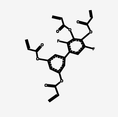 C=CC(=O)Oc1cc(OC(=O)C=C)cc(-c2cc(F)c(OC(=O)C=C)c(OC(=O)C=C)c2F)c1